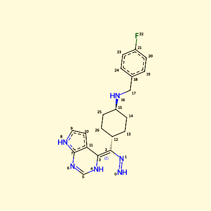 N=N/C(=C1\NC=Nc2[nH]ccc21)[C@H]1CC[C@H](NCc2ccc(F)cc2)CC1